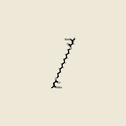 CN/C(C)=C\C(=O)OCCCCCCCCCCCCOC(=O)/C=C(/C)NC